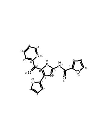 O=C(Nc1nc(-c2ccco2)c(C(=O)c2ccccn2)s1)c1ccco1